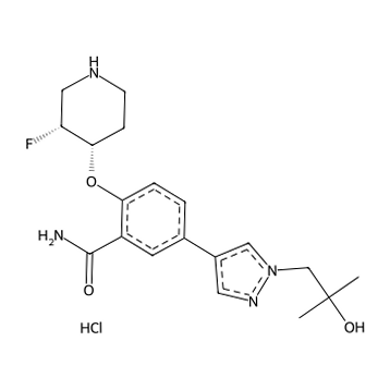 CC(C)(O)Cn1cc(-c2ccc(O[C@H]3CCNC[C@H]3F)c(C(N)=O)c2)cn1.Cl